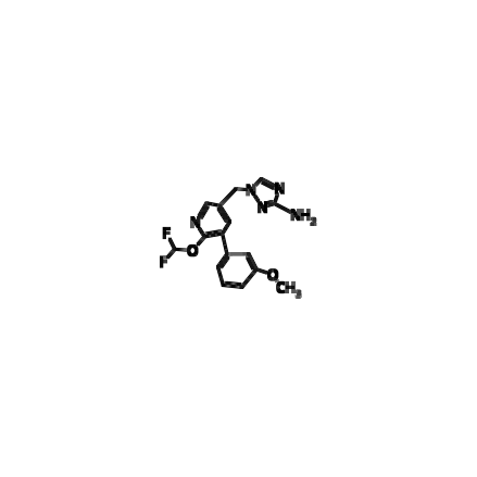 COc1cccc(-c2cc(Cn3cnc(N)n3)cnc2OC(F)F)c1